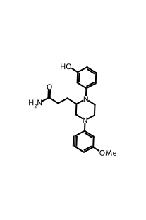 COc1cc#cc(N2CCN(c3cccc(O)c3)C(CCC(N)=O)C2)c1